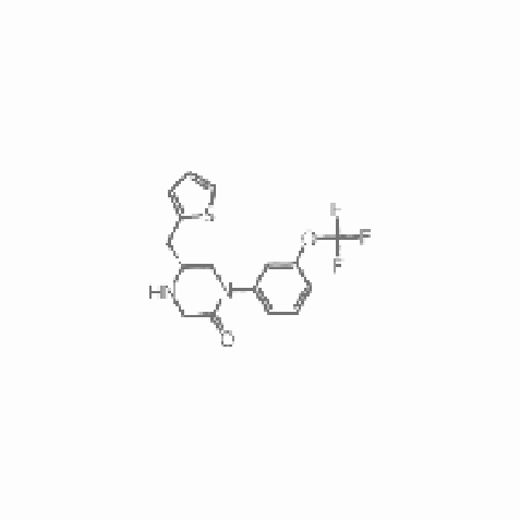 O=C1CN[C@@H](Cc2cccs2)CN1c1cccc(OC(F)(F)F)c1